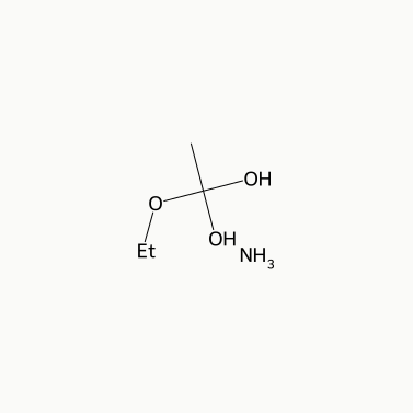 CCOC(C)(O)O.N